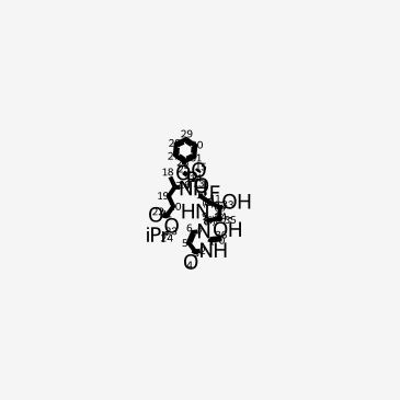 C=C1NC(=O)C=CN1[C@@H]1N[C@](F)(COP(=O)(NC(C)CCC(=O)OC(C)C)Oc2ccccc2)[C@@H](O)[C@@]1(C)O